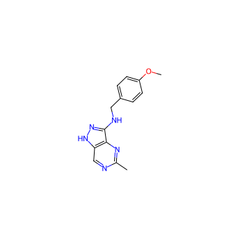 COc1ccc(CNc2n[nH]c3cnc(C)nc23)cc1